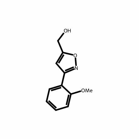 COc1ccccc1-c1cc(CO)on1